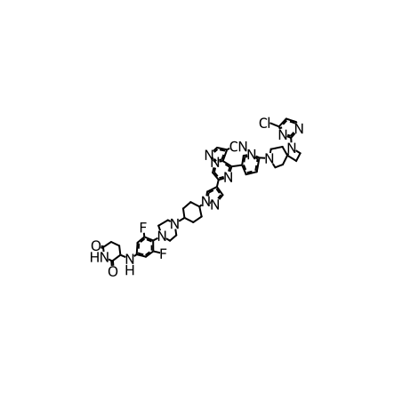 N#Cc1cnn2cc(-c3cnn(C4CCC(N5CCN(c6c(F)cc(NC7CCC(=O)NC7=O)cc6F)CC5)CC4)c3)nc(-c3ccc(N4CCC5(CC4)CCN5c4nccc(Cl)n4)nc3)c12